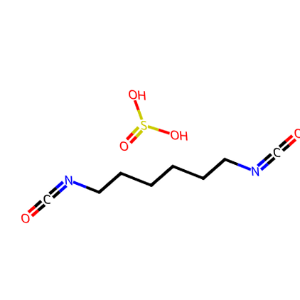 O=C=NCCCCCCN=C=O.O=S(O)O